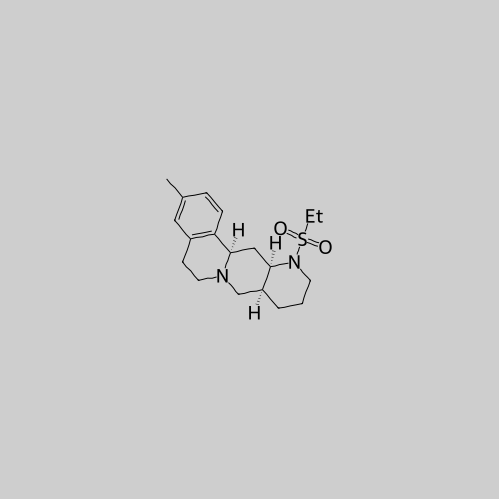 CCS(=O)(=O)N1CCC[C@H]2CN3CCc4cc(C)ccc4[C@H]3C[C@H]21